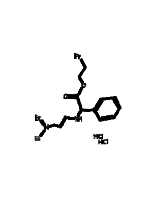 CCN(CC)CCNC(C(=O)OCCC(C)C)c1ccccc1.Cl.Cl